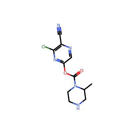 CC1CNCCN1C(=O)Oc1cnc(C#N)c(Cl)n1